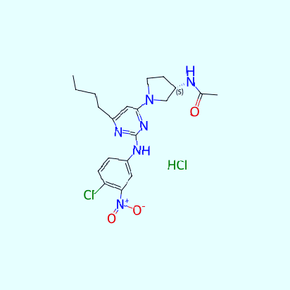 CCCCc1cc(N2CC[C@H](NC(C)=O)C2)nc(Nc2ccc(Cl)c([N+](=O)[O-])c2)n1.Cl